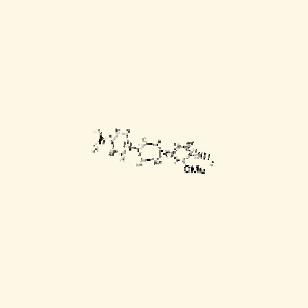 COc1cc(N2CCC(N3CCC(N(C)C)CC3)CC2)ccc1[N+](=O)[O-]